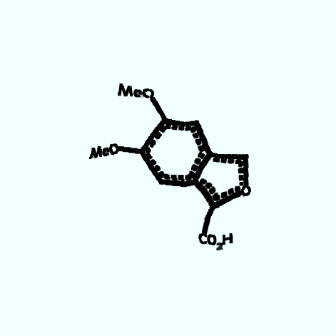 COc1cc2coc(C(=O)O)c2cc1OC